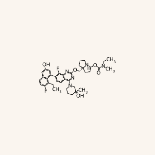 CCc1c(F)ccc2cc(O)cc(-c3ccc4c(N5CCC[C@@](C)(O)C5)nc(OC[C@]56CCCN5[C@@H](OC(=O)N(C)CC)CC6)nc4c3F)c12